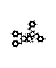 O=C1C2(C[Se]CC13CN(Cc1ccccc1)CN(Cc1ccccc1)C3)CN(Cc1ccccc1)CN(Cc1ccccc1)C2